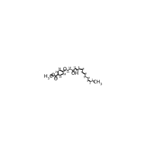 CC/C=C\CC/C=C/C=C\C=C\[C@@H](O)CCOc1ccc(C(=O)OC)cc1